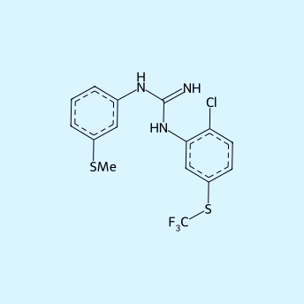 CSc1cccc(NC(=N)Nc2cc(SC(F)(F)F)ccc2Cl)c1